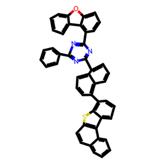 c1ccc(-c2nc(-c3cccc4c(-c5cccc6c5sc5ccc7ccccc7c56)cccc34)nc(-c3cccc4oc5ccccc5c34)n2)cc1